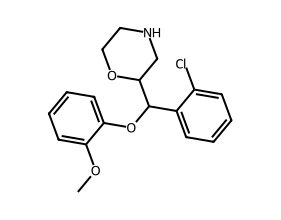 COc1ccccc1OC(c1ccccc1Cl)C1CNCCO1